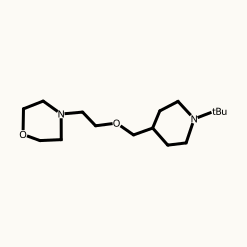 CC(C)(C)N1CCC(COCCN2CCOCC2)CC1